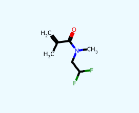 C=C(C)C(=O)N(C)CC(F)F